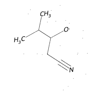 CC(C)C([O])CC#N